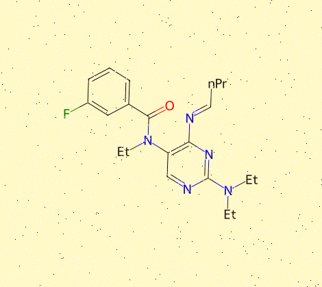 [CH2]CCC=Nc1nc(N(CC)CC)ncc1N(CC)C(=O)c1cccc(F)c1